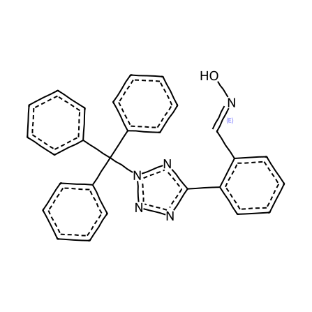 O/N=C/c1ccccc1-c1nnn(C(c2ccccc2)(c2ccccc2)c2ccccc2)n1